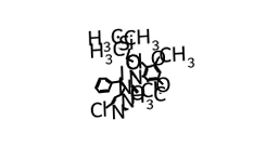 COc1cc(OC)c(Cl)c(N(COCC[Si](C)(C)C)C(=O)N(c2cc(Cl)ncn2)C(I)c2ccccc2)c1Cl